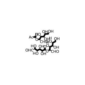 CC(=O)C(=O)O[C@@H](C=O)[C@@H](O)[C@H](O)[C@H](O)CO.O=C[C@H](O)[C@@H](O)[C@H](O)[C@H](O)C(=O)O[C@H](C=O)[C@@H](O)[C@H](O)[C@H](O)CO